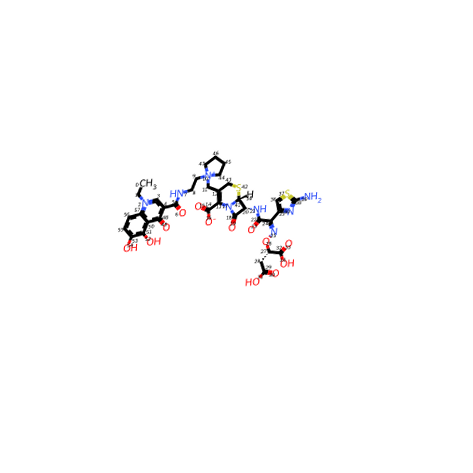 CCn1cc(C(=O)NCC[N+]2(CC3=C(C(=O)[O-])N4C(=O)[C@@H](NC(=O)/C(=N\O[C@@H](CC(=O)O)C(=O)O)c5csc(N)n5)[C@H]4SC3)CCCC2)c(=O)c2c(O)c(O)ccc21